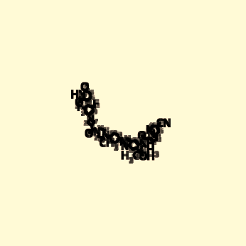 C[C@H]1CN(C(=O)C2CN(c3cc(F)c([C@H]4CCC(=O)NC4=O)c(F)c3)C2)CCN1C1CCC(n2cc3cc(NC(=O)c4ccc5cc(C#N)cnn45)c(C(C)(C)O)cc3n2)CC1